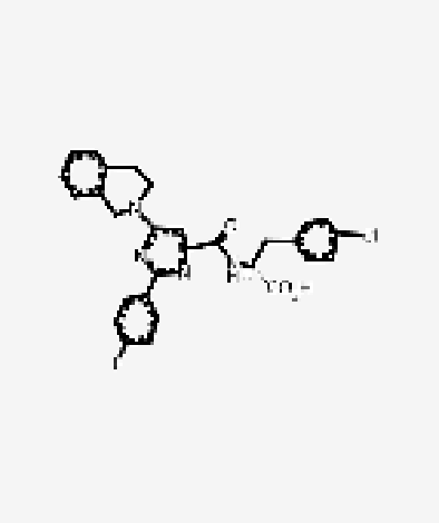 O=C(N[C@H](Cc1ccc(Cl)cc1)C(=O)O)c1cc(N2CCc3ccccc3C2)nc(-c2ccc(F)cc2)n1